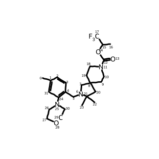 Cc1ccc(CN2CC3(CCN(C(=O)OC(C)C(F)(F)F)CC3)CC2(C)C)c(N2CCOCC2)c1